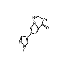 Cn1cc(-c2cc3c(=O)[nH]cnn3c2)cn1